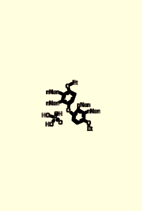 CCCCCCCCCc1c(OCC)ccc(Oc2ccc(OCC)c(CCCCCCCCC)c2CCCCCCCCC)c1CCCCCCCCC.O=P(O)(O)O